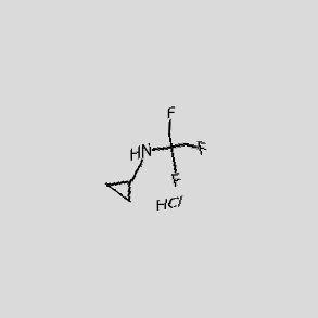 Cl.FC(F)(F)NC1CC1